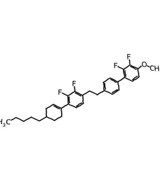 CCCCCC1CC=C(c2ccc(CCc3ccc(-c4ccc(OC)c(F)c4F)cc3)c(F)c2F)CC1